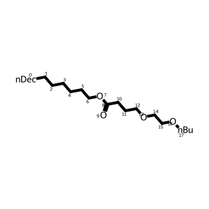 CCCCCCCCCCCCCCCCOC(=O)CCCOCCOCCCC